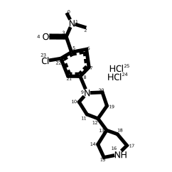 CN(C)C(=O)c1ccc(N2CCC(C3CCNCC3)CC2)cc1Cl.Cl.Cl